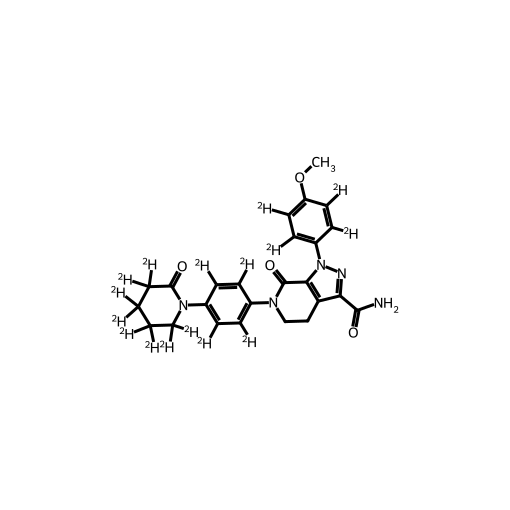 [2H]c1c([2H])c(-n2nc(C(N)=O)c3c2C(=O)N(c2c([2H])c([2H])c(N4C(=O)C([2H])([2H])C([2H])([2H])C([2H])([2H])C4([2H])[2H])c([2H])c2[2H])CC3)c([2H])c([2H])c1OC